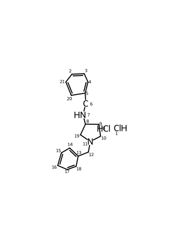 Cl.Cl.c1ccc(CNC2CCN(Cc3ccccc3)C2)cc1